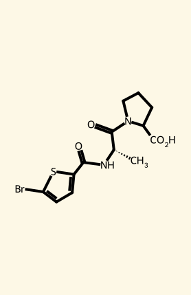 C[C@H](NC(=O)c1ccc(Br)s1)C(=O)N1CCCC1C(=O)O